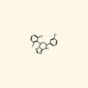 Fc1cccc(Cl)c1[C@H]1C[C@@H](c2cccc(Cl)c2)Nc2ncnn21